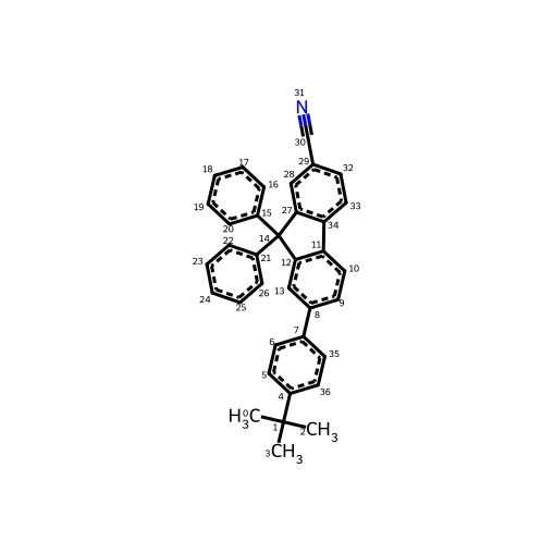 CC(C)(C)c1ccc(-c2ccc3c(c2)C(c2ccccc2)(c2ccccc2)c2cc(C#N)ccc2-3)cc1